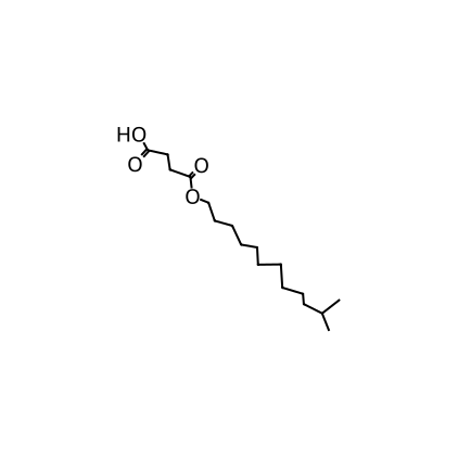 CC(C)CCCCCCCCCCOC(=O)CCC(=O)O